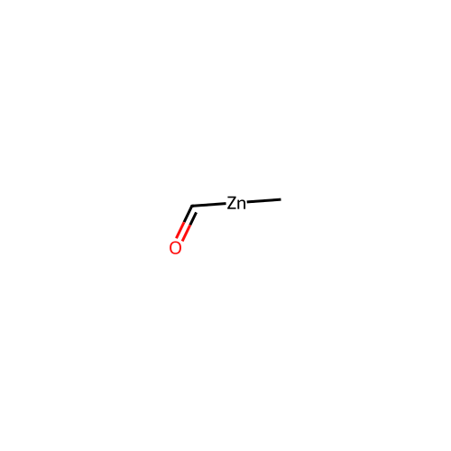 [CH3][Zn][CH]=O